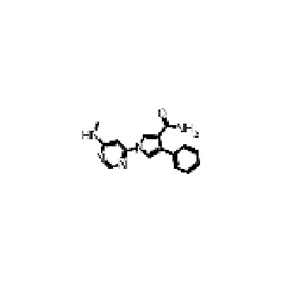 CNc1cc(-n2cc(C(N)=O)c(-c3ccccc3)c2)ncn1